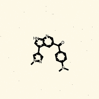 CN(C)c1ccc(C(=O)c2cnc3[nH]cc(-c4cnn(C)c4)c3c2)cc1